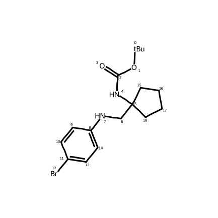 CC(C)(C)OC(=O)NC1(CNc2ccc(Br)cc2)CCCC1